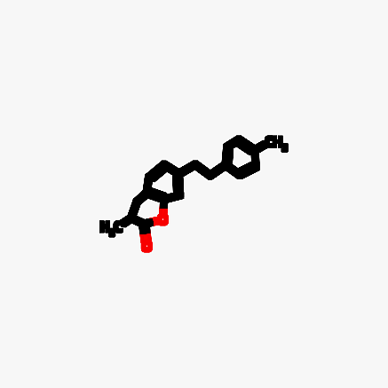 Cc1ccc(CCc2ccc3c(c2)OC(=O)C(C)C3)cc1